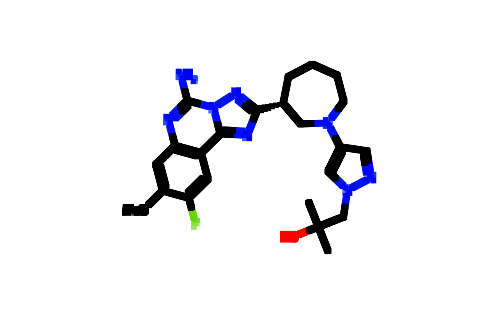 COc1cc2nc(N)n3nc([C@@H]4CCCCN(c5cnn(CC(C)(C)O)c5)C4)nc3c2cc1F